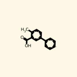 Cc1ccc(-c2cc[c]cc2)cc1C(=O)O